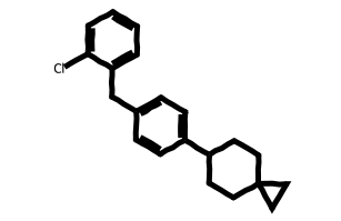 Clc1ccccc1Cc1ccc(C2CCC3(CC2)CC3)cc1